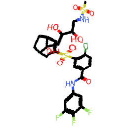 CS(=O)(=O)NCC(O)C(O)CC1(O)C2CCC1CC(S(=O)(=O)c1cc(C(=O)Nc3cc(F)c(F)c(F)c3)ccc1Cl)C2